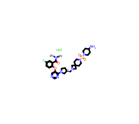 CC(C)N(C(=O)c1cc(F)ccc1Oc1cncnc1N1CC[C@@H](CN2CC3(CCN(S(=O)(=O)N4CCC(N)CC4)CC3)C2)C1)C(C)C.Cl